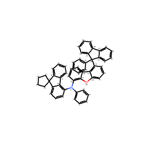 c1ccc(N(c2cccc3c2-c2ccccc2C32CCCC2)c2cccc3c2oc2cccc(C4(c5ccccc5)c5ccccc5-c5ccccc54)c23)cc1